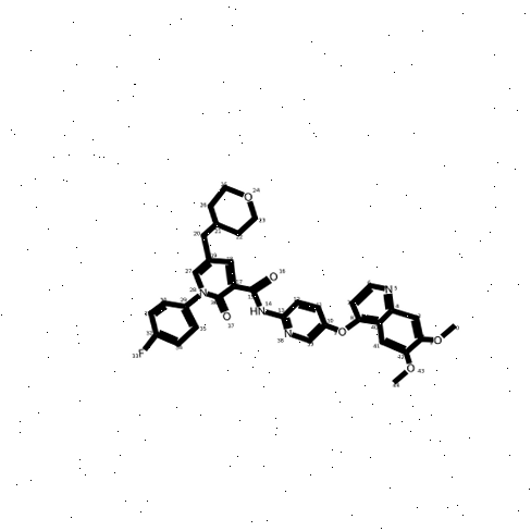 COc1cc2nccc(Oc3ccc(NC(=O)c4cc(CC5CCOCC5)cn(-c5ccc(F)cc5)c4=O)nc3)c2cc1OC